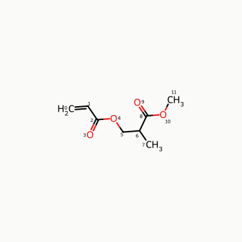 C=CC(=O)OCC(C)C(=O)OC